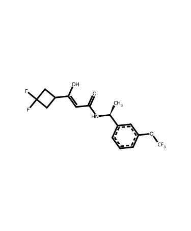 C[C@H](NC(=O)C=C(O)C1CC(F)(F)C1)c1cccc(OC(F)(F)F)c1